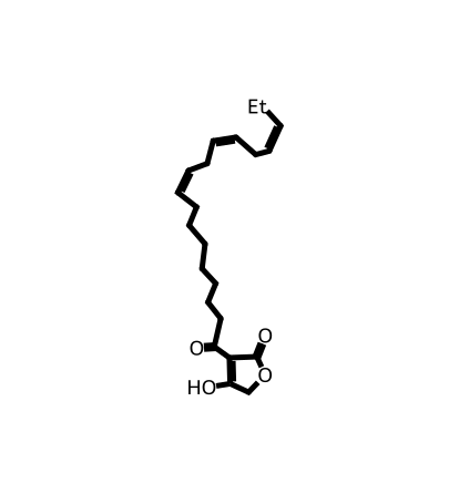 CC/C=C\C/C=C\C/C=C\CCCCCCCC(=O)C1=C(O)COC1=O